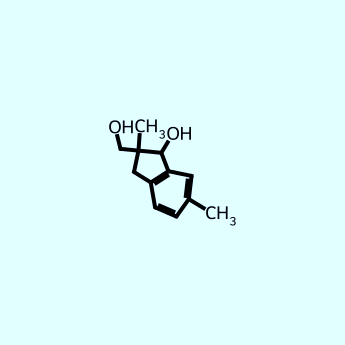 Cc1ccc2c(c1)C(O)C(C)(CO)C2